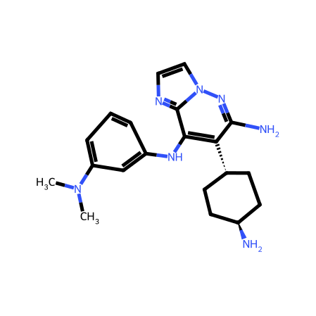 CN(C)c1cccc(Nc2c3nccn3nc(N)c2[C@H]2CC[C@H](N)CC2)c1